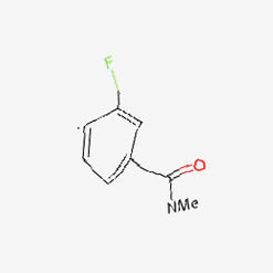 CNC(=O)c1cc[c]c(F)c1